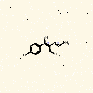 CCC(/N=C/N)=C(/S)c1ccc(Cl)cc1